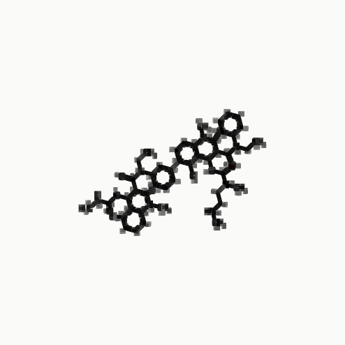 CCN(C(=O)c1c(OC(=O)NC)c2c(Cl)cccc2n(C)c1=O)c1cccc(-c2ccc3c(c2Cl)c(OC(=O)N(C)CCNC)c(C(=O)N(CC)c2ccccc2)c(=O)n3C)c1